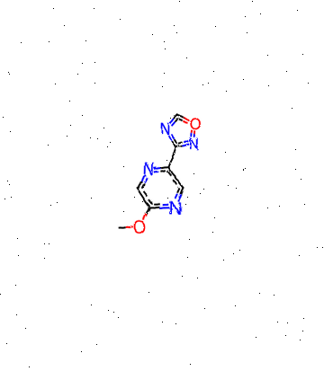 COc1cnc(-c2ncon2)cn1